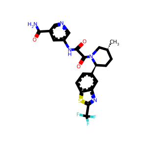 C[C@@H]1CC[C@@H](c2ccc3sc(C(F)(F)F)nc3c2)N(C(=O)C(=O)Nc2cncc(C(N)=O)c2)C1